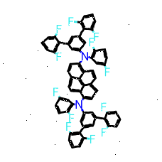 Fc1ccc(F)c(N(c2cc(-c3c(F)cccc3F)cc(-c3c(F)cccc3F)c2)c2ccc3ccc4c(N(c5cc(-c6c(F)cccc6F)cc(-c6c(F)cccc6F)c5)c5cc(F)ccc5F)ccc5ccc2c3c54)c1